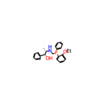 CCOc1ccccc1P(CN[C@@H](C)[C@H](O)c1ccccc1)c1ccccc1